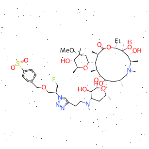 CC[C@H]1OC(=O)[C@H](C)[C@@H](C2C[C@@](C)(OC)[C@@H](O)[C@H](C)O2)[C@H](C)[C@@H](O[C@@H]2O[C@H](C)C[C@H](N(C)CCc3cn([C@H](CF)COCc4ccc(S(C)(=O)=O)cc4)nn3)[C@H]2O)[C@](C)(O)C[C@@H](C)CN(C)[C@H](C)[C@@H](O)[C@]1(C)O